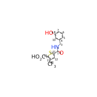 O=C(NCc1cccc(O)c1)c1cc(C(F)(F)F)c(C(=O)O)s1